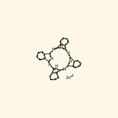 [Zn][I].c1ccc2c(c1)-c1nc-2nc2[nH]c(nc3nc(nc4[nH]c(n1)c1ccccc41)-c1ccccc1-3)c1ccccc21